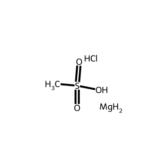 CS(=O)(=O)O.Cl.[MgH2]